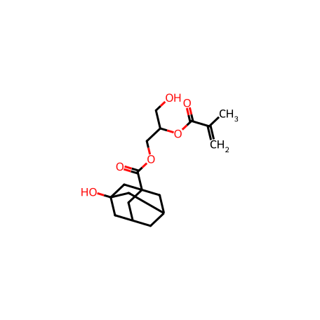 C=C(C)C(=O)OC(CO)COC(=O)C12CC3CC(CC(O)(C3)C1)C2